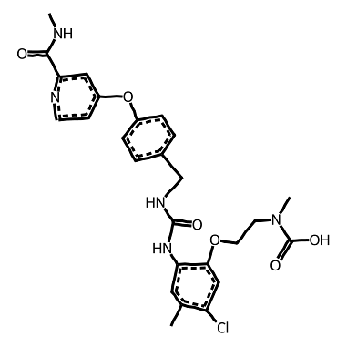 CNC(=O)c1cc(Oc2ccc(CNC(=O)Nc3cc(C)c(Cl)cc3OCCN(C)C(=O)O)cc2)ccn1